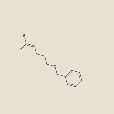 FC(Cl)=CCCCOCc1ccccc1